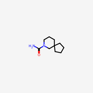 NC(=O)N1CCCC2(CCCC2)C1